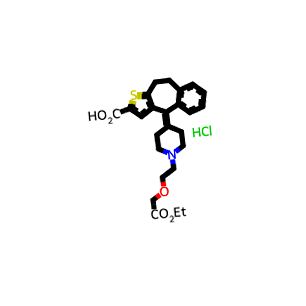 CCOC(=O)COCCN1CCC(=C2c3ccccc3CCc3sc(C(=O)O)cc32)CC1.Cl